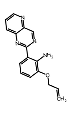 C=CCOc1cccc(-c2ncc3ncccc3n2)c1N